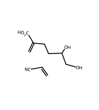 C=C(CCC(O)CO)C(=O)O.C=CC#N